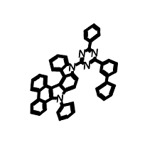 c1ccc(-c2cccc(-c3nc(-c4ccccc4)nc(-n4c5ccccc5c5c6c7c8ccccc8c8ccccc8c7n(-c7ccccc7)c6ccc54)n3)c2)cc1